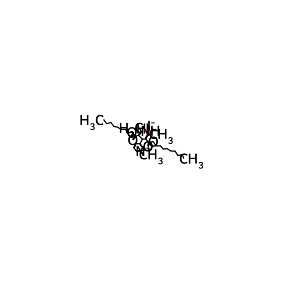 CCCCCCCCCOC(=O)C1=C(C)NC(C)=C(C(=O)OCCCCCCCCC)C1c1ccc[n+](C)c1.I.[I-]